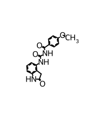 COc1ccc(C(=O)NC(=O)Nc2cccc3c2CC(=O)N3)cc1